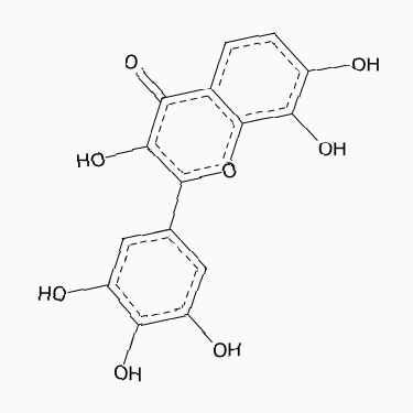 O=c1c(O)c(-c2cc(O)c(O)c(O)c2)oc2c(O)c(O)ccc12